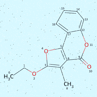 CCOc1oc2c(c1C)c(=O)oc1ccccc12